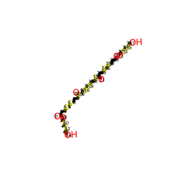 O=C(CCSCSCCC[S+]([O-])CCSCSCCSC(=O)CCSCSCCCOOCSCSCO)OCSCSCO